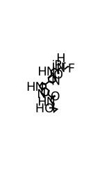 CC(C)[C@@H](Nc1cncc(-c2c[nH]c3ncc(C(=O)NCC4(O)CC4)cc23)c1)C(=O)NCCF